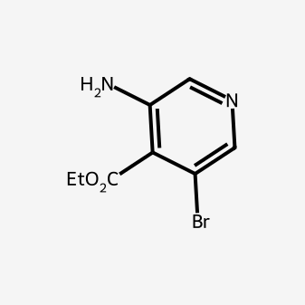 CCOC(=O)c1c(N)cncc1Br